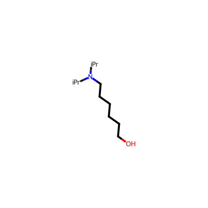 CC(C)N(CCCCCCO)C(C)C